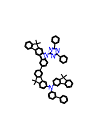 CC1(C)c2ccccc2-c2cc(N(c3cccc(-c4ccccc4)c3)c3ccc4c(c3)-c3cc(-c5ccc6c(c5)c5cc7c(cc5n6-c5nc(-c6ccccc6)nc(-c6ccccc6)n5)C(C)(C)c5ccccc5-7)ccc3C4(C)C)ccc21